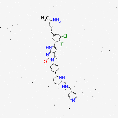 C[C@H](N)CCCc1cc(Cl)c(F)c(-c2cc3cn(-c4ccc([C@@H]5CCC[C@@H](CNCc6ccncc6)N5)cc4)c(=O)nc3[nH]2)c1